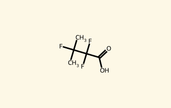 CC(C)(F)C(F)(F)C(=O)O